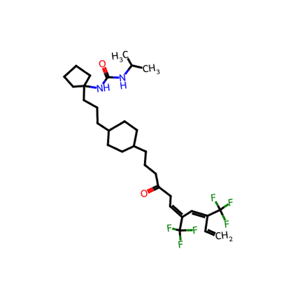 C=C/C(=C\C(=C/CC(=O)CCCC1CCC(CCCC2(NC(=O)NC(C)C)CCCC2)CC1)C(F)(F)F)C(F)(F)F